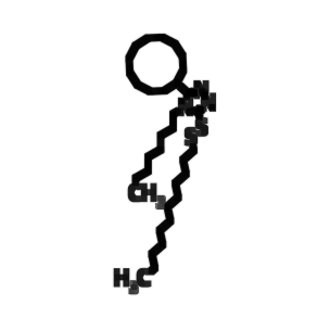 CCCCCCCCCCCCSSc1nnc(C2CCCCCCCCCCC2)n1CCCCCCCC